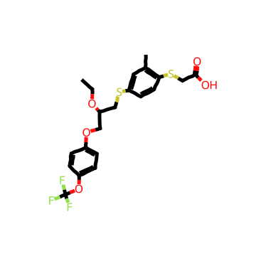 CCOC(COc1ccc(OC(F)(F)F)cc1)CSc1ccc(SCC(=O)O)c(C)c1